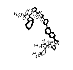 COC(=O)NC(C(=O)N1CCC[C@H]1c1ncc(-c2ccc(-c3ccc4cc(-c5cnc([C@@H]6CCCN6C(=O)[C@@H](NC(=O)OC)C(C)C)[nH]5)ccc4c3)cc2)[nH]1)C1Cc2ccccc2C1